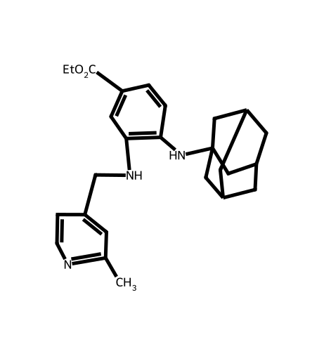 CCOC(=O)c1ccc(NC23CC4CC(CC(C4)C2)C3)c(NCc2ccnc(C)c2)c1